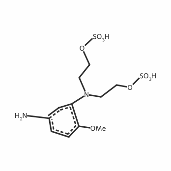 COc1ccc(N)cc1N(CCOS(=O)(=O)O)CCOS(=O)(=O)O